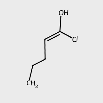 CCCC=C(O)Cl